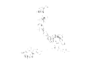 COc1cc2c(cc1OCCCCCOc1cc3c(cc1C)C(=O)C1C=C(C)C[C@H]1C=N3)N(C(=O)OCc1ccc(NCC(=O)CNC(=O)CCN3C(=O)C=CC3=O)cc1)[C@@H](O)[C@@H]1CC(C)=CN1C2=O